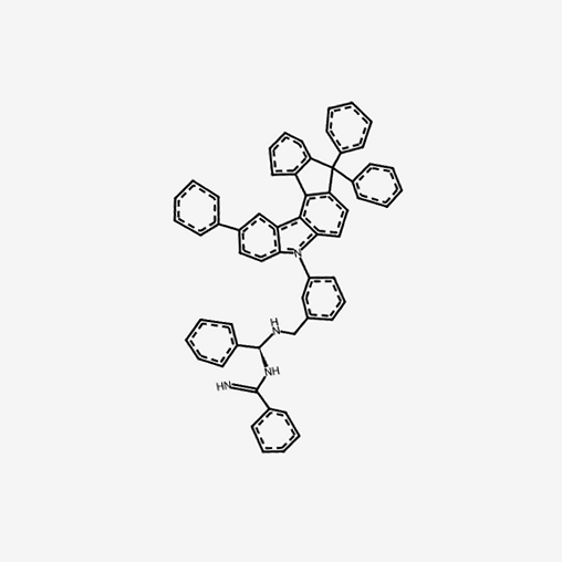 N=C(N[C@H](NCc1cccc(-n2c3ccc(-c4ccccc4)cc3c3c4c(ccc32)C(c2ccccc2)(c2ccccc2)c2ccccc2-4)c1)c1ccccc1)c1ccccc1